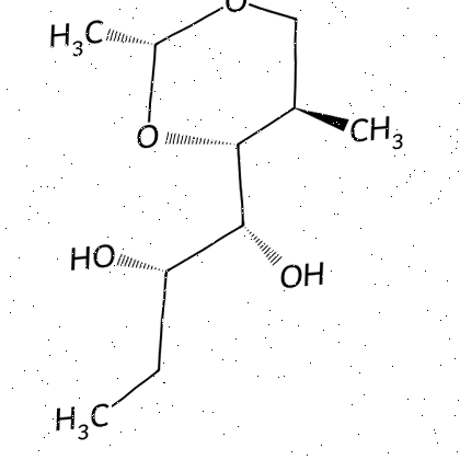 CC[C@H](O)[C@@H](O)[C@@H]1O[C@H](C)OC[C@H]1C